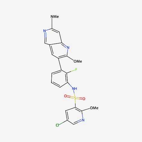 CNc1cc2nc(OC)c(-c3cccc(NS(=O)(=O)c4cc(Cl)cnc4OC)c3F)cc2cn1